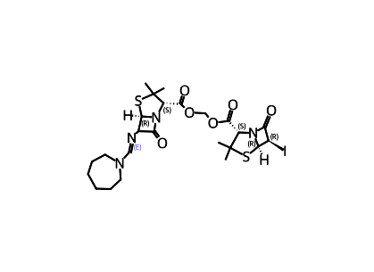 CC1(C)S[C@@H]2C(/N=C/N3CCCCCC3)C(=O)N2[C@H]1C(=O)OCOC(=O)[C@@H]1N2C(=O)[C@@H](I)[C@H]2SC1(C)C